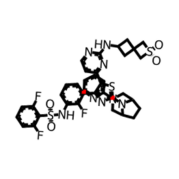 O=S1(=O)CC2(CC(Nc3nccc(-c4sc(N5C6CCC5CN(c5ccccn5)C6)nc4-c4cccc(NS(=O)(=O)c5c(F)cccc5F)c4F)n3)C2)C1